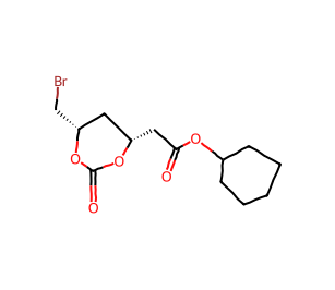 O=C(C[C@H]1C[C@@H](CBr)OC(=O)O1)OC1CCCCC1